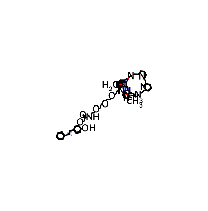 C=N/C=C1CN2Cc3cccc(n3)-c3cccc(n3)CN(Cc3cccc(n3)-c3cccc(n3)C2)CC(C)(/C=N\C)\C=C/1C(=O)NCCOCCOCCOCCNC(=O)COc1cc(/C=C/c2ccccc2)ccc1O